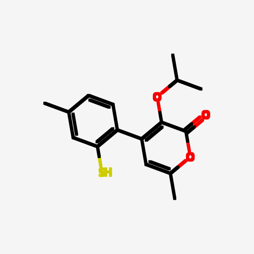 Cc1ccc(-c2cc(C)oc(=O)c2OC(C)C)c(S)c1